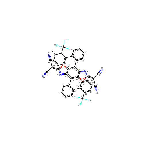 CC1C=CC=C(c2ccccc2-c2c3nc(=C(C#N)C#N)oc3c(-c3ccccc3-c3ccccc3C(F)(F)F)c3nc(=C(C#N)C#N)oc23)C1C(F)(F)F